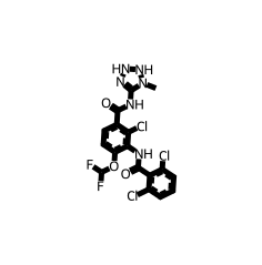 CN1NNN=C1NC(=O)c1ccc(OC(F)F)c(NC(=O)c2c(Cl)cccc2Cl)c1Cl